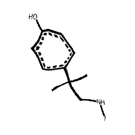 CC(C)(CNI)c1ccc(O)cc1